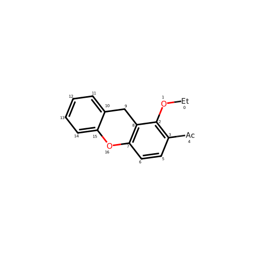 CCOc1c(C(C)=O)ccc2c1Cc1ccccc1O2